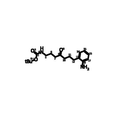 CC(C)(C)OC(=O)NCCCC(=O)[CH]CCc1ccccc1N